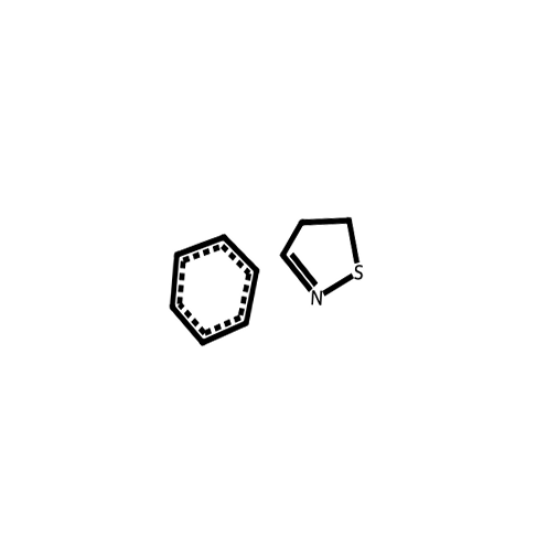 C1=NSCC1.c1ccccc1